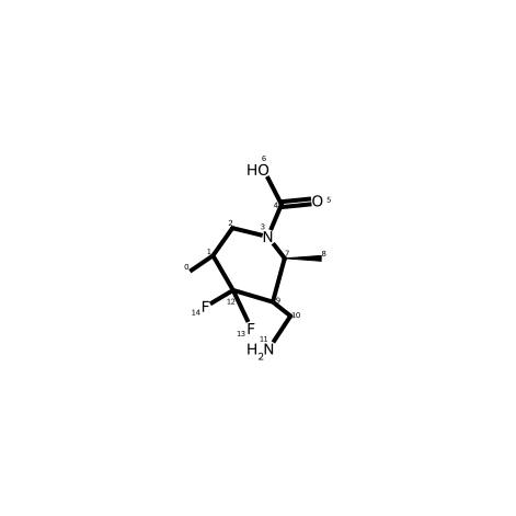 CC1CN(C(=O)O)[C@@H](C)C(CN)C1(F)F